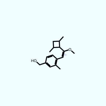 CO/C(=C/c1ccc(CO)cc1C)C1C(C)CC1C